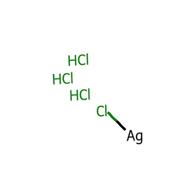 Cl.Cl.Cl.[Cl][Ag]